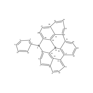 c1ccc(N2c3ccc4cccc5c4c3B3c4c-5cccc4-c4cccc5ccc2c3c45)cc1